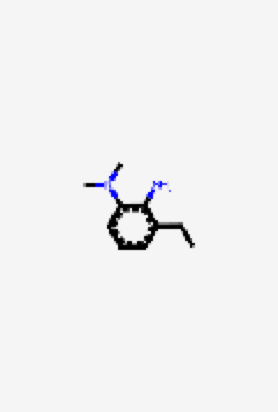 CCc1cccc(N(C)C)c1N